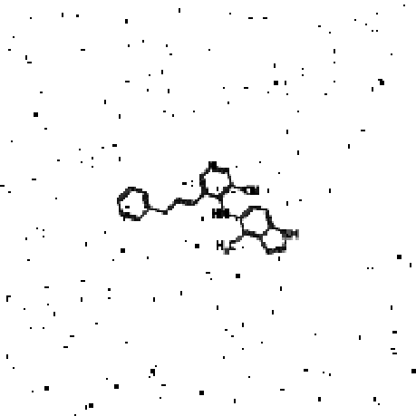 Cc1c(Nc2c(C#N)cncc2C=CCc2ccccc2)ccc2[nH]ccc12